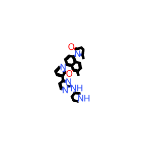 Cc1ccc2c(N3C(=O)CCC3C)cccc2c1Oc1ncccc1-c1ccnc(NC2CCCNC2)n1